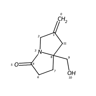 C=C1CN2C(=O)CCC2(CO)C1